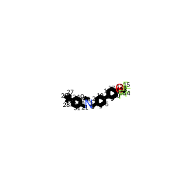 C=CN(Cc1ccc(-c2ccc(OC(F)(F)F)cc2)cc1)Cc1ccc(C(C)(C)C)cc1